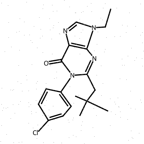 CCn1cnc2c(=O)n(-c3ccc(Cl)cc3)c(CC(C)(C)C)nc21